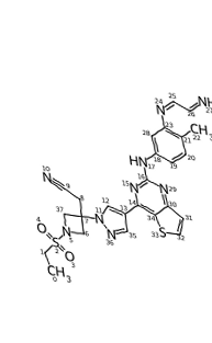 CCS(=O)(=O)N1CC(CC#N)(n2cc(-c3nc(Nc4ccc(C)c(/N=C\C=N)c4)nc4ccsc34)cn2)C1